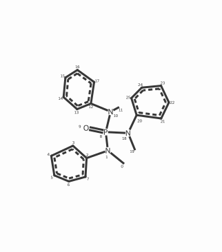 CN(c1ccccc1)P(=O)(N(C)c1ccccc1)N(C)c1ccccc1